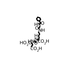 O=C(O)CC[C@H](NC(=O)N[C@@H](CCCCNC(=O)CNC(=O)C1CCCCC1)C(=O)O)C(=O)O